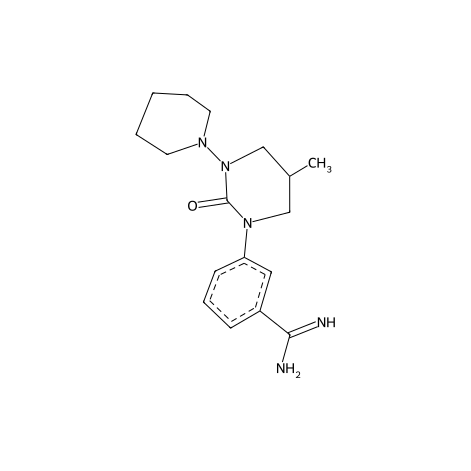 CC1CN(c2cccc(C(=N)N)c2)C(=O)N(N2CCCCC2)C1